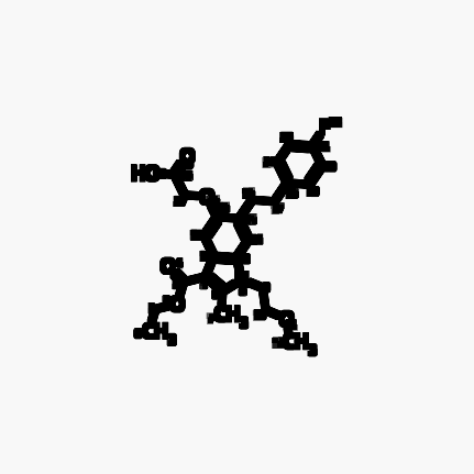 CCOC(=O)c1c(C)n(CCOC)c2cc(CCc3ccc(F)cc3)c(OCC(=O)O)cc12